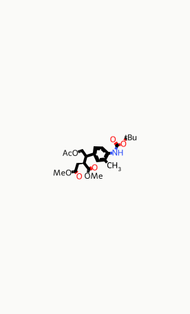 COC(=O)C[C@H](C(=O)OC)C(COC(C)=O)c1ccc(NC(=O)OC(C)(C)C)c(C)c1